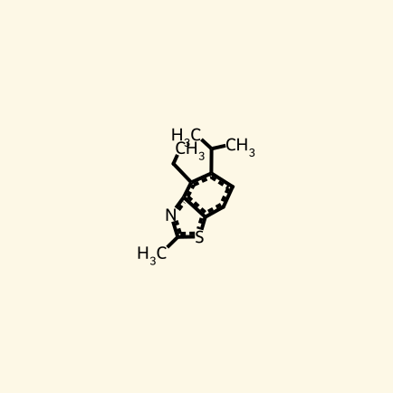 CCc1c(C(C)C)ccc2sc(C)nc12